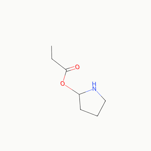 CCC(=O)OC1CCCN1